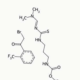 CN(C)/C=N/C(=S)NCCCNC(=O)OC(C)(C)C.O=C(CBr)c1ccccc1C(F)(F)F